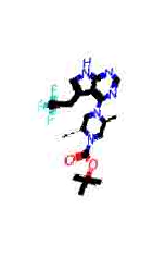 C[C@@H]1CN(c2ncnc3[nH]cc(CC(F)(F)F)c23)[C@@H](C)CN1C(=O)OC(C)(C)C